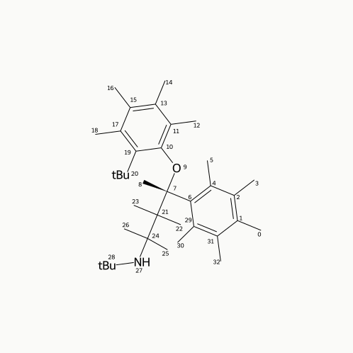 Cc1c(C)c(C)c([C@@](C)(Oc2c(C)c(C)c(C)c(C)c2C(C)(C)C)C(C)(C)C(C)(C)NC(C)(C)C)c(C)c1C